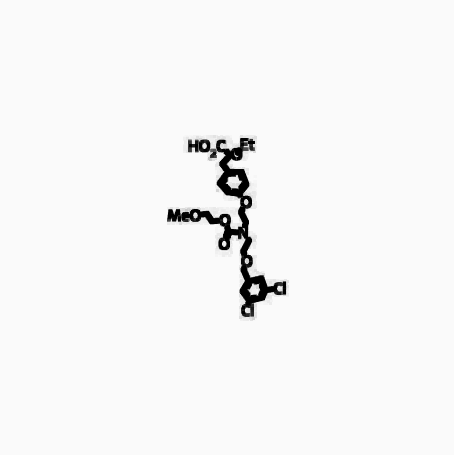 CCOC(Cc1ccc(OCCN(CCOCc2cc(Cl)cc(Cl)c2)C(=O)OCCOC)cc1)C(=O)O